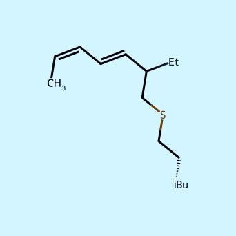 C/C=C\C=CC(CC)CSCC[C@@H](C)CC